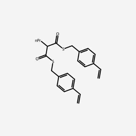 C=Cc1ccc(CSC(=O)C(CCC)C(=O)SCc2ccc(C=C)cc2)cc1